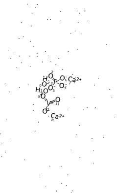 O.O.O=P([O-])([O-])[O-].[Ca+2].[Ca+2].[O]=[V](=[O])[O-]